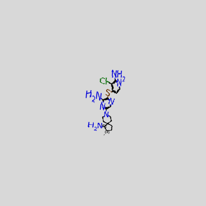 C[C@H]1CCC2(CCN(c3cnc(Sc4ccnc(N)c4Cl)c(N)n3)CC2)[C@@H]1N